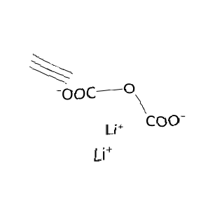 C#C.O=C([O-])OC(=O)[O-].[Li+].[Li+]